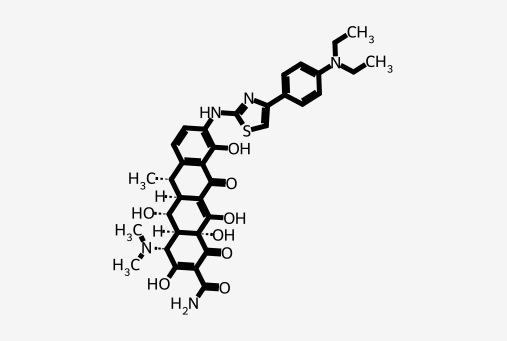 CCN(CC)c1ccc(-c2csc(Nc3ccc4c(c3O)C(=O)C3=C(O)[C@@]5(O)C(=O)C(C(N)=O)=C(O)[C@H](N(C)C)[C@H]5[C@H](O)[C@H]3[C@@H]4C)n2)cc1